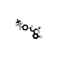 CC(C)(C)S(=O)(=O)N[C@H]1CC[C@H](C(=O)CC(C[N+](=O)[O-])c2cccc(Cl)c2)CC1